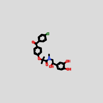 CN(CC(O)c1ccc(O)c(O)c1)C(=O)C(C)(C)Oc1ccc(C(=O)c2ccc(Cl)cc2)cc1